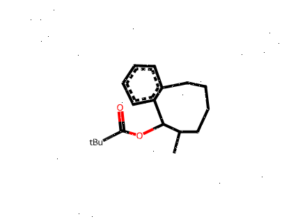 CC1CCCCc2ccccc2C1OC(=O)C(C)(C)C